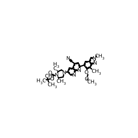 COCOc1c(-c2cc(C#N)c3cc(N4C[C@H](C)N(C(=O)OC(C)(C)C)[C@@H](C)C4)cnc3n2)cc2cn(C)nc2c1C